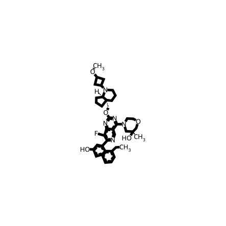 CCc1cccc2cc(O)cc(-c3ncc4c(N5CCOC[C@@](C)(O)C5)nc(OC[C@]56CCC[C@H]5N(C5CC(OC)C5)CCC6)nc4c3F)c12